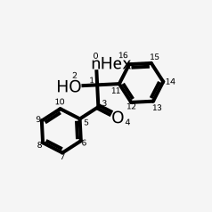 CCCCCCC(O)(C(=O)c1ccccc1)c1ccccc1